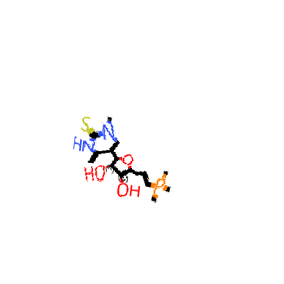 C=C1NC(=S)N(C)C=C1C1OC(CCP(=C)(C)C)[C@@H](O)[C@H]1O